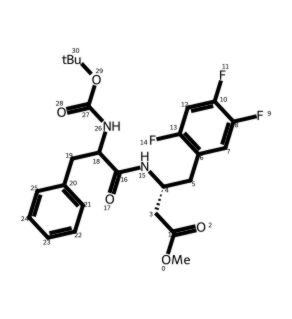 COC(=O)C[C@@H](Cc1cc(F)c(F)cc1F)NC(=O)C(Cc1ccccc1)NC(=O)OC(C)(C)C